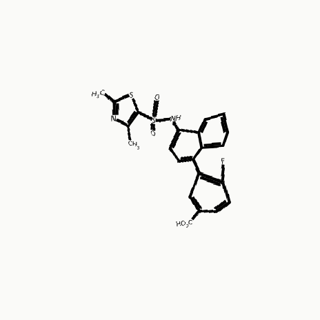 Cc1nc(C)c(S(=O)(=O)Nc2ccc(-c3cc(C(=O)O)ccc3F)c3ccccc23)s1